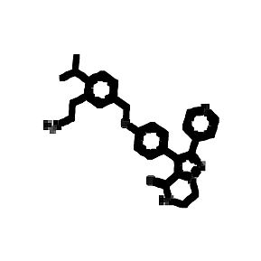 CC(C)c1ccc(COc2ccc(-c3c(-c4ccncc4)nn4c3C(=O)NCC4)cc2)cc1CCN